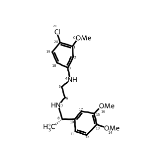 COc1cc(NCCN[C@@H](C)c2ccc(OC)c(OC)c2)ccc1Cl